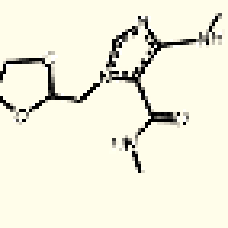 CNC(=O)c1c(NC)ncn1CC1OCCO1